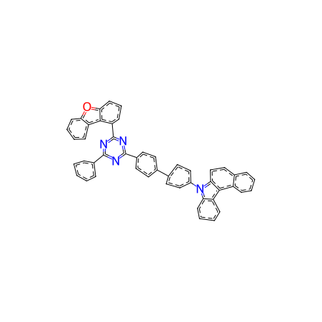 c1ccc(-c2nc(-c3ccc(-c4ccc(-n5c6ccccc6c6c7ccccc7ccc65)cc4)cc3)nc(-c3cccc4oc5ccccc5c34)n2)cc1